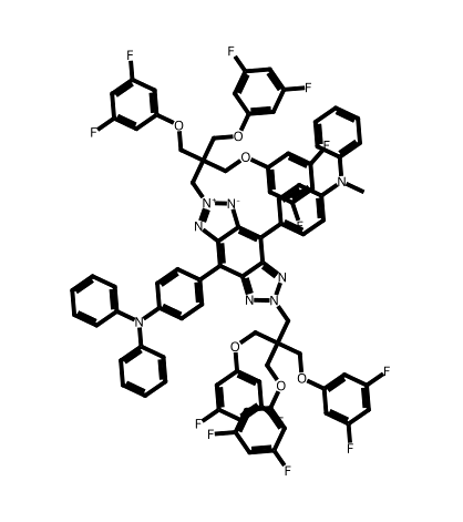 CN(c1ccccc1)c1ccc(-c2c3nn(CC(COc4cc(F)cc(F)c4)(COc4cc(F)cc(F)c4)COc4cc(F)cc(F)c4)nc3c(-c3ccc(N(c4ccccc4)c4ccccc4)cc3)c3n[n+](CC(COc4cc(F)cc(F)c4)(COc4cc(F)cc(F)c4)COc4cc(F)cc(F)c4)[n-]c23)cc1